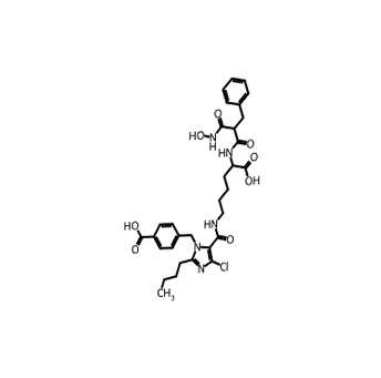 CCCCc1nc(Cl)c(C(=O)NCCCCC(NC(=O)C(Cc2ccccc2)C(=O)NO)C(=O)O)n1Cc1ccc(C(=O)O)cc1